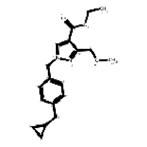 CCOC(=O)c1cn(Cc2ccc(CC3CC3)cc2)nc1COC